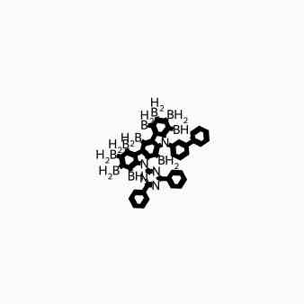 Bc1c(B)c(B)c2c(c1B)c1c(B)c3c4c(B)c(B)c(B)c(B)c4n(-c4nc(-c5ccccc5)nc(-c5ccccc5)n4)c3c(B)c1n2-c1cccc(-c2ccccc2)c1